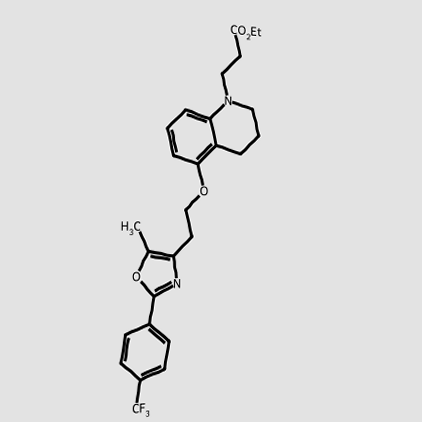 CCOC(=O)CCN1CCCc2c(OCCc3nc(-c4ccc(C(F)(F)F)cc4)oc3C)cccc21